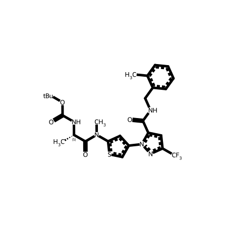 Cc1ccccc1CNC(=O)c1cc(C(F)(F)F)nn1-c1csc(N(C)C(=O)[C@H](C)NC(=O)OC(C)(C)C)c1